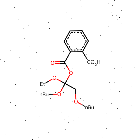 CCCCOCC(OCC)(OCCCC)OC(=O)c1ccccc1C(=O)O